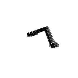 [Cu+2].[Cu+2].[Mo+6].[Mo+6].[S-2].[S-2].[S-2].[S-2].[S-2].[S-2].[S-2].[S-2].[S-2].[S-2].[S-2].[S-2].[S-2].[S-2].[S-2].[S-2].[S-2].[Sn+4].[Sn+4].[V+5].[V+5]